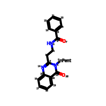 CCCCCn1c(CCNC(=O)c2ccccc2)nc2ccccc2c1=O